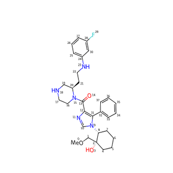 COC[C@]1(O)CCCC[C@H]1n1cnc(C(=O)N2CCNC[C@H]2CCNc2cccc(F)c2)c1-c1ccccc1